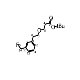 CC(C)(C)OC(=O)CCOCCc1cccc(CF)c1